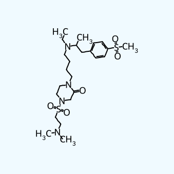 CCN(CCCCN1CCN(S(=O)(=O)CCN(C)C)CC1=O)C(C)Cc1ccc(S(C)(=O)=O)cc1